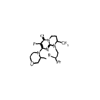 CC(C)C(F)CN1c2nc(N3CCOCC3C)c(F)c(=O)n2CCC1C(F)(F)F